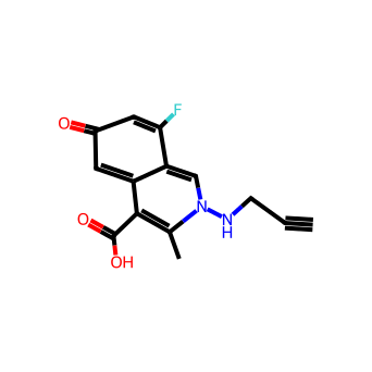 C#CCNn1cc2c(F)cc(=O)cc-2c(C(=O)O)c1C